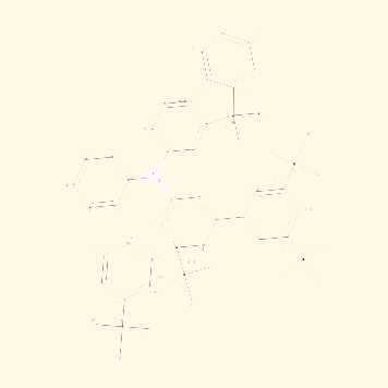 CC(C)(C)c1cc(C2=CC(N(c3ccccc3)c3ccc4c(c3)C(C)(C)c3ccccc3-4)=CC(c3cccc(C(C)(C)C)c3)(C(C)(C)C)C2)cc(C(C)(C)C)c1